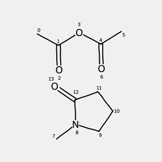 CC(=O)OC(C)=O.CN1CCCC1=O